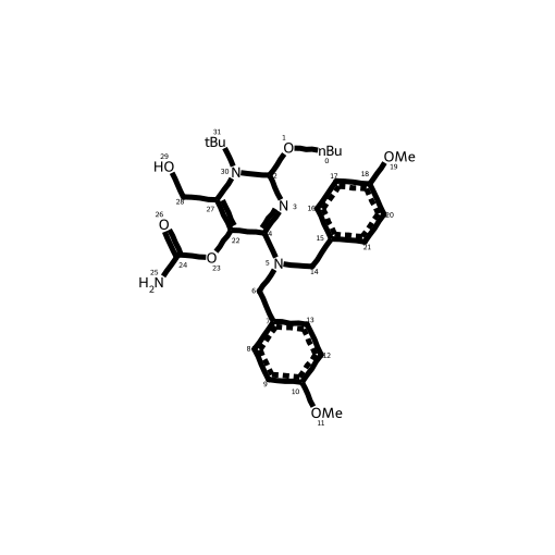 CCCCOC1N=C(N(Cc2ccc(OC)cc2)Cc2ccc(OC)cc2)C(OC(N)=O)=C(CO)N1C(C)(C)C